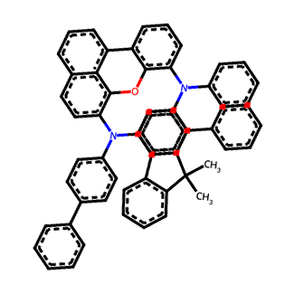 CC1(C)c2ccccc2-c2ccc(N(c3ccccc3)c3cccc4c3Oc3c(N(c5ccc(-c6ccccc6)cc5)c5ccc(-c6ccccc6)cc5)ccc5cccc-4c35)cc21